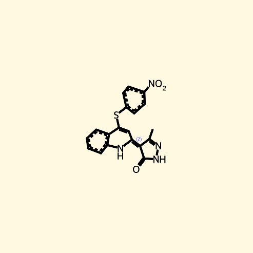 CC1=NNC(=O)/C1=C1/C=C(Sc2ccc([N+](=O)[O-])cc2)c2ccccc2N1